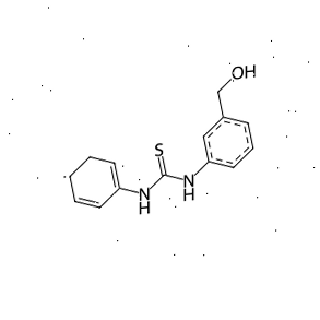 OCc1cccc(NC(=S)NC2=CC[CH]C=C2)c1